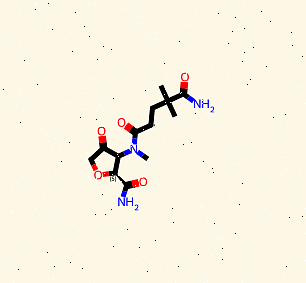 CN(C(=O)[CH]CC(C)(C)C(N)=O)C1C(=O)CO[C@@H]1C(N)=O